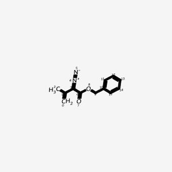 C=C(C)C(=[N+]=[N-])C(=O)OCc1ccccc1